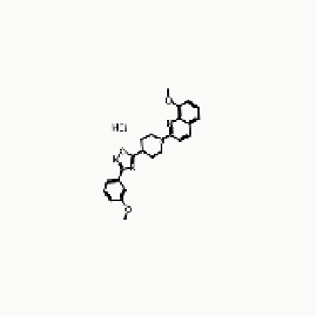 COc1cccc(-c2noc(C3CCN(c4ccc5cccc(OC)c5n4)CC3)n2)c1.Cl